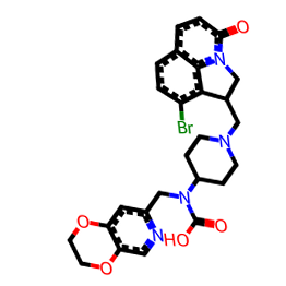 O=C(O)N(Cc1cc2c(cn1)OCCO2)C1CCN(CC2Cn3c(=O)ccc4ccc(Br)c2c43)CC1